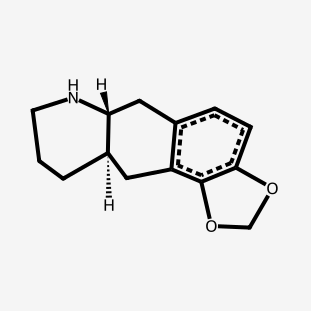 c1cc2c(c3c1C[C@H]1NCCC[C@@H]1C3)OCO2